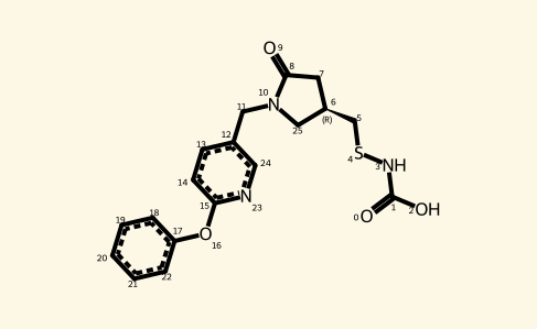 O=C(O)NSC[C@@H]1CC(=O)N(Cc2ccc(Oc3ccccc3)nc2)C1